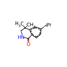 CC(C)c1ccc2c(c1)C(C)(C)CNC2=O